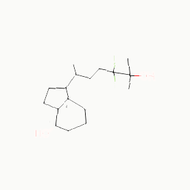 CC(CCC(F)(F)C(C)(C)O)C1CCC2[C@@H](O)CCC[C@]12C